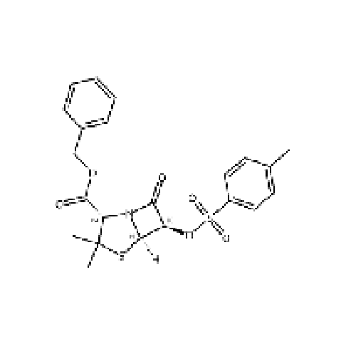 Cc1ccc(S(=O)(=O)O[C@@H]2C(=O)N3[C@@H]2SC(C)(C)[C@@H]3C(=O)OCc2ccccc2)cc1